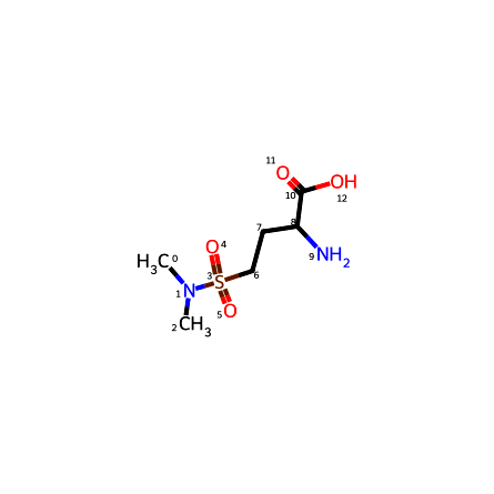 CN(C)S(=O)(=O)CCC(N)C(=O)O